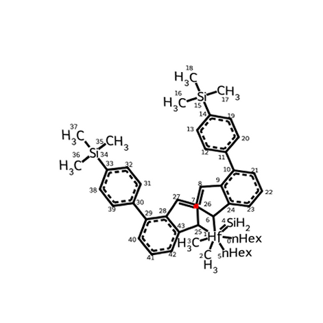 CCCCC[CH2][Hf]([CH3])([CH3])(=[SiH2])([CH2]CCCCC)([CH]1C=Cc2c(-c3ccc([Si](C)(C)C)cc3)cccc21)[CH]1C=Cc2c(-c3ccc([Si](C)(C)C)cc3)cccc21